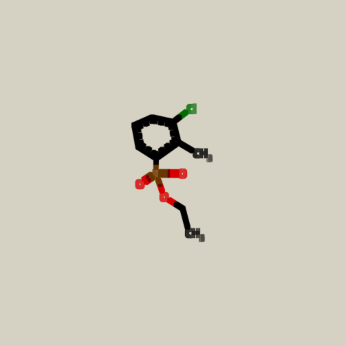 CCOS(=O)(=O)c1cccc(Cl)c1C